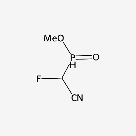 CO[PH](=O)C(F)C#N